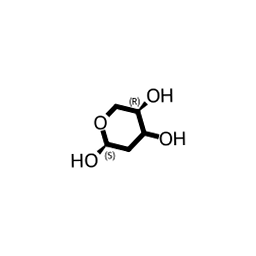 OC1C[C@@H](O)OC[C@H]1O